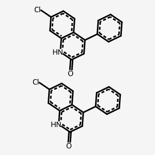 O=c1cc(-c2ccccc2)c2ccc(Cl)cc2[nH]1.O=c1cc(-c2ccccc2)c2ccc(Cl)cc2[nH]1